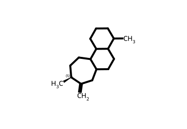 C=C1CC2CCC3C(C)CCCC3C2CC[C@@H]1C